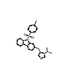 Cc1ccc(S(=O)(=O)n2c3ccccc3c3ccc(Cc4cncn4C(C)C)cc32)cc1